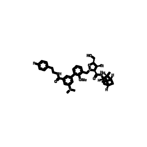 CC[C@@H]1[C@H](CO)ON(Cc2cccc(-c3cc(C(=O)NCCc4ccc(F)cc4)cc(N(C)C)c3)c2OC)[C@@H]1C(=O)N[C@H]1C[C@H]2C[C@@H]([C@@H]1C)C2(C)C